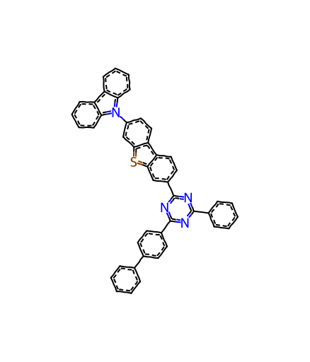 c1ccc(-c2ccc(-c3nc(-c4ccccc4)nc(-c4ccc5c(c4)sc4cc(-n6c7ccccc7c7ccccc76)ccc45)n3)cc2)cc1